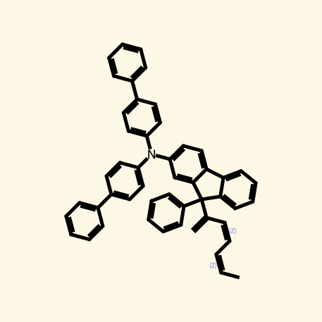 C=C(/C=C\C=C/C)C1(c2ccccc2)c2ccccc2-c2ccc(N(c3ccc(-c4ccccc4)cc3)c3ccc(-c4ccccc4)cc3)cc21